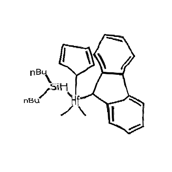 CCCC[SiH](CCCC)[Hf]([CH3])([CH3])([CH]1C=CC=C1)[CH]1c2ccccc2-c2ccccc21